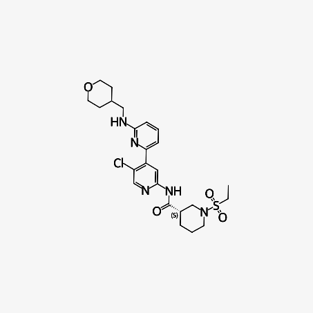 CCS(=O)(=O)N1CCC[C@H](C(=O)Nc2cc(-c3cccc(NCC4CCOCC4)n3)c(Cl)cn2)C1